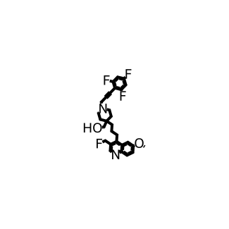 COc1ccc2ncc(CF)c(CCCC3(CO)CCN(CC#Cc4c(F)cc(F)cc4F)CC3)c2c1